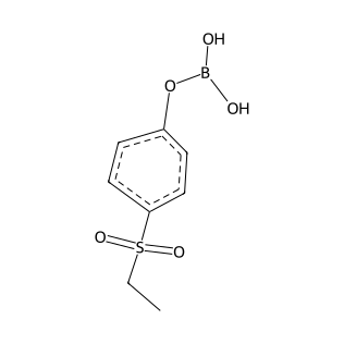 CCS(=O)(=O)c1ccc(OB(O)O)cc1